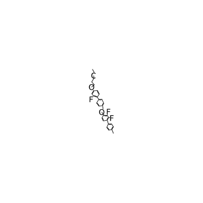 CCCCCCOc1ccc(-c2ccc(COc3ccc(-c4ccc(C)cc4)c(F)c3F)cc2)c(F)c1